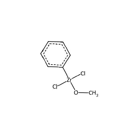 C[O][Zr]([Cl])([Cl])[c]1ccccc1